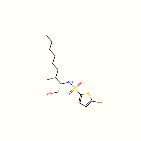 CCCCCC[C@@H](C)[C@@H](CO)NS(=O)(=O)c1ccc(Br)s1